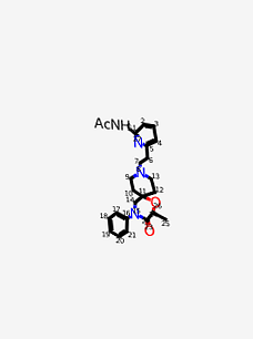 CC(=O)Nc1cccc(CCN2CCC3(CC2)CN(c2ccccc2)C(=O)C(C)O3)n1